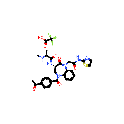 CN[C@@H](C)C(=O)N[C@H]1CN(C(=O)c2ccc(C(C)=O)cc2)c2ccccc2N(CC(=O)Nc2nccs2)C1=O.O=C(O)C(F)(F)F